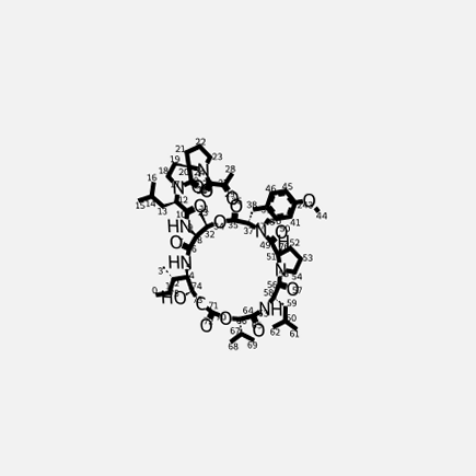 CC[C@H](C)[C@H]1NC(=O)[C@@H](NC(=O)[C@@H](CC(C)C)N2CC[C@]3(CCCN3C(=O)C(C)=O)C2=O)[C@@H](C)OC(=O)[C@H](Cc2ccc(OC)cc2)N(C)C(=O)[C@@H]2CCCN2C(=O)[C@H](CC(C)C)NC(=O)[C@H](C(C)C)OC(=O)C[C@@H]1O